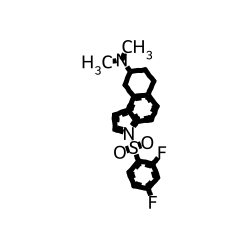 CN(C)C1CCc2ccc3c(ccn3S(=O)(=O)c3ccc(F)cc3F)c2C1